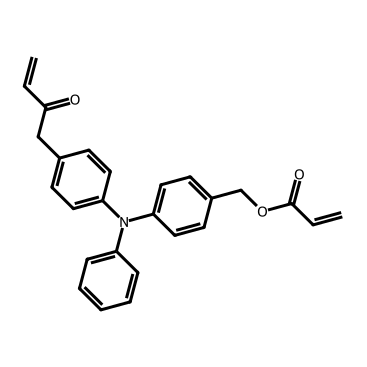 C=CC(=O)Cc1ccc(N(c2ccccc2)c2ccc(COC(=O)C=C)cc2)cc1